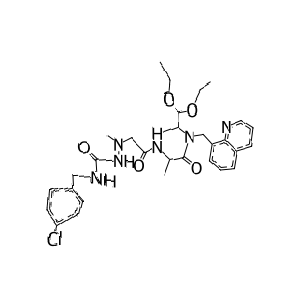 CCOC(OCC)C(C)N(Cc1cccc2cccnc12)C(=O)C(C)NC(=O)CN(C)NC(=O)NCc1ccc(Cl)cc1